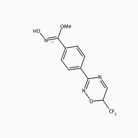 CO/C(=N\O)c1ccc(C2=NOC(C(F)(F)F)C=N2)cc1